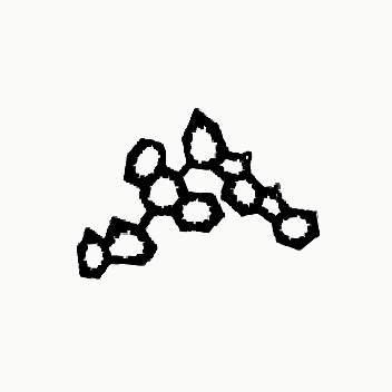 c1ccc2cc(-c3c4ccccc4c(-c4cccc5oc6c(ccc7c8ccccc8sc76)c45)c4ccccc34)ccc2c1